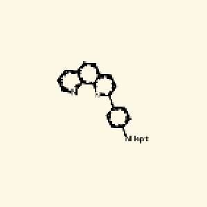 CCCCCCCc1ccc(-c2ccc3ccc4cccnc4c3n2)cc1